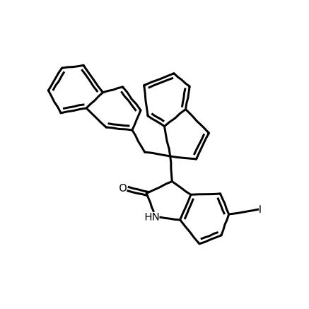 O=C1Nc2ccc(I)cc2C1C1(Cc2ccc3ccccc3c2)C=Cc2ccccc21